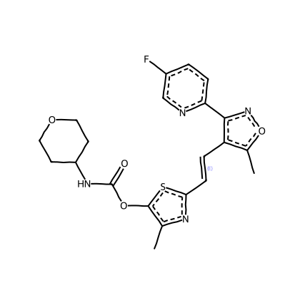 Cc1nc(/C=C/c2c(-c3ccc(F)cn3)noc2C)sc1OC(=O)NC1CCOCC1